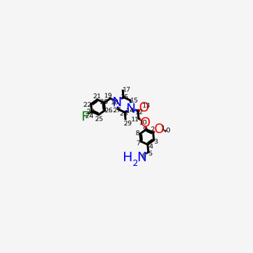 COc1cc(CN)ccc1OCC(=O)N1CC(C)N(Cc2ccc(F)cc2)CC1C